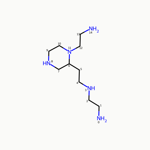 NCCNCCC1CNCCN1CCN